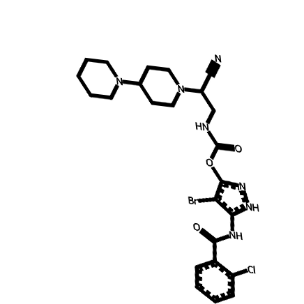 N#CC(CNC(=O)Oc1n[nH]c(NC(=O)c2ccccc2Cl)c1Br)N1CCC(N2CCCCC2)CC1